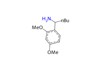 CCCCC(N)c1ccc(OC)cc1OC